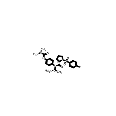 C[C@@H](C(=O)O)N(C(=O)[C@@H]1CCCN1S(=O)(=O)c1ccc(F)cc1)c1ccc(OC(=O)N(C)C)cc1